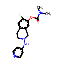 CN(C)C(=O)Oc1cc2c(cc1F)CCN(Nc1ccncc1)C2